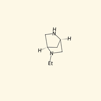 CCN1C[C@H]2C[C@@H]1CN2